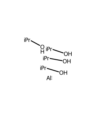 CC(C)O.CC(C)O.CC(C)O.CC(C)O.[Al]